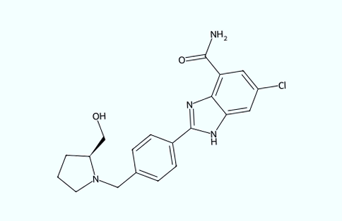 NC(=O)c1cc(Cl)cc2[nH]c(-c3ccc(CN4CCC[C@H]4CO)cc3)nc12